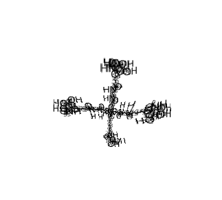 CC(=O)NC1C(OCCCCC(=O)NCCCNC(=O)CCOCC(COCCC(=O)NCCCNC(=O)CCCCOC2OC(CO)C(O)C(O)C2NC(C)=O)(COCCC(=O)NCCCNC(=O)CCCCOC2O[C@H](CO)C(O)C(O)C2NC(C)=O)NC(=O)CCCCCCCCCNC(=O)C2CC(O)C(CO)O2)OC(CO)C(O)C1O